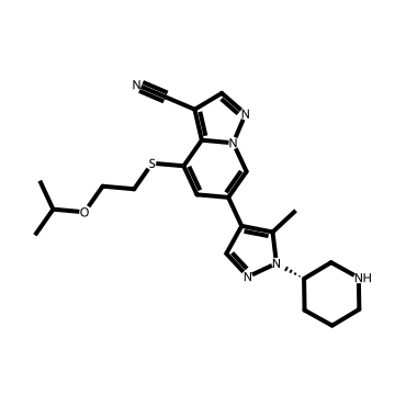 Cc1c(-c2cc(SCCOC(C)C)c3c(C#N)cnn3c2)cnn1[C@H]1CCCNC1